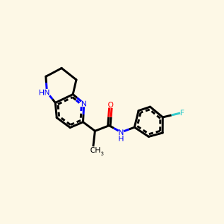 CC(C(=O)Nc1ccc(F)cc1)c1ccc2c(n1)CCCN2